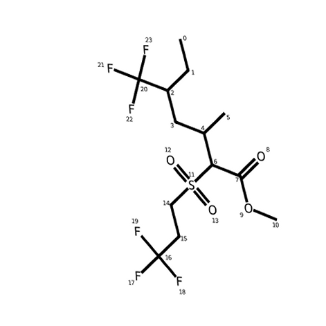 CCC(CC(C)C(C(=O)OC)S(=O)(=O)CCC(F)(F)F)C(F)(F)F